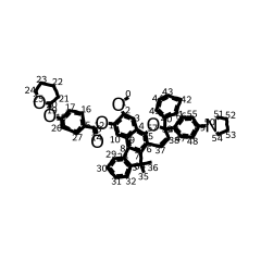 COc1cc2c3c(c4c(c2cc1OC(=O)c1ccc(OC2CCCCO2)cc1)-c1ccccc1C4(C)C)C=CC(c1ccccc1)(c1ccc(N2CCCC2)cc1)O3